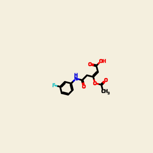 CC(=O)OC(=CC(=O)O)CC(=O)Nc1cccc(F)c1